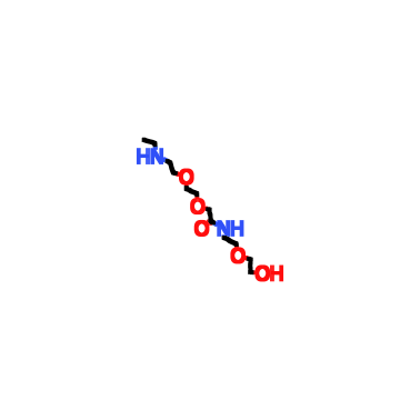 CCNCCOCCOCC(=O)NCCOCCO